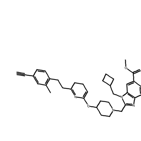 C#Cc1ccc(CCC2=NC(OC3CCN(Cc4nc5ccc(C(=C)OC)cc5n4CC4CCC4)CC3)=CCC2)c(C)c1